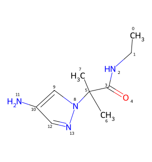 CCNC(=O)C(C)(C)n1cc(N)cn1